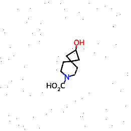 O=C(O)N1CCC2(CC1)CC(O)C2